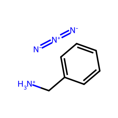 [N-]=[N+]=[N-].[NH3+]Cc1ccccc1